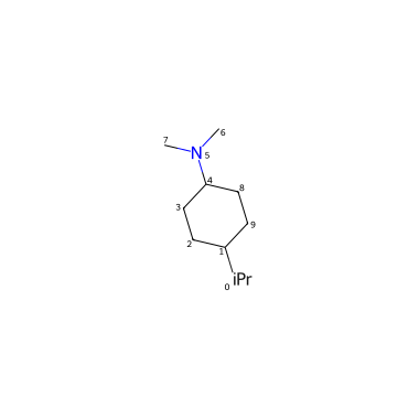 CC(C)C1CCC(N(C)C)CC1